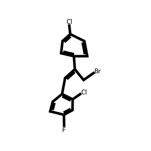 Fc1ccc(C=C(CBr)c2ccc(Cl)cc2)c(Cl)c1